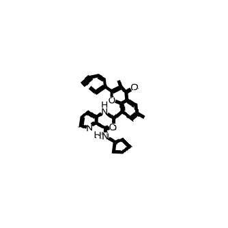 C#C/C=C\C(=C/C)c1oc2c(C(C)Nc3cccnc3C(=O)NC3CCCC3)cc(C)cc2c(=O)c1C